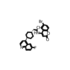 C[C@H](C[C@H]1CC[C@H](c2ccnc3ccc(F)cc32)CC1)Nc1cc(=O)oc2ccc(Br)cc12